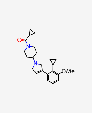 COc1cccc(C2=CCN(C3CCN(C(=O)C4CC4)CC3)C2)c1C1CC1